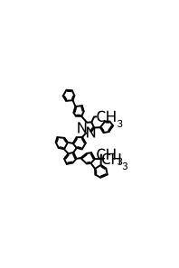 CCC1C(c2ccccc2)=NC(c2ccc3c(c2)c2ccccc2c2cccc(-c4ccc5c(c4)-c4ccccc4C5(C)C)c23)=NC1c1ccc(-c2ccccc2)cc1